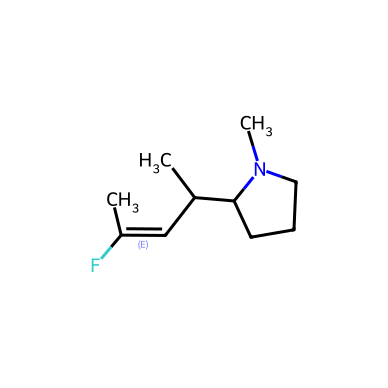 C/C(F)=C\C(C)C1CCCN1C